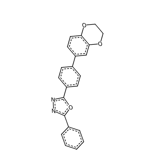 c1ccc(-c2nnc(-c3ccc(-c4ccc5c(c4)OCCO5)cc3)o2)cc1